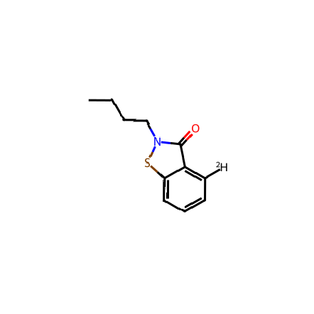 [2H]c1cccc2sn(CCCC)c(=O)c12